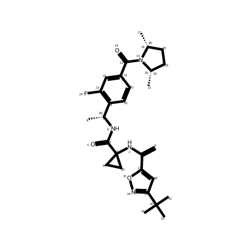 C=C(NC1(C(=O)N[C@H](C)c2ccc(C(=O)N3[C@H](C)CC[C@@H]3C)cc2F)CC1)c1cc(C(C)(C)C)no1